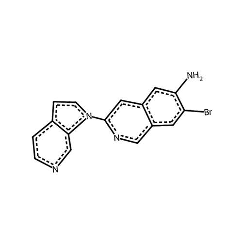 Nc1cc2cc(-n3ccc4ccncc43)ncc2cc1Br